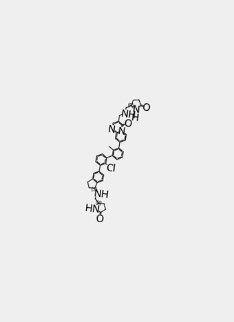 Cc1c(-c2ccn3c(=O)c(CNC[C@H]4CCC(=O)N4)cnc3c2)cccc1-c1cccc(-c2ccc3c(c2)CC[C@@H]3NC[C@H]2CCC(=O)N2)c1Cl